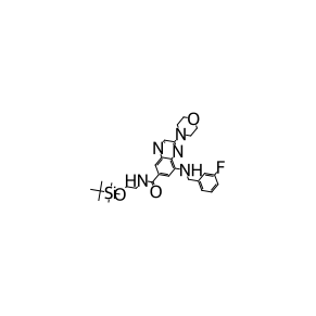 CC(C)(C)[Si](C)(C)OCCNC(=O)c1cc(NCc2cccc(F)c2)c2nc(N3CCOCC3)cnc2c1